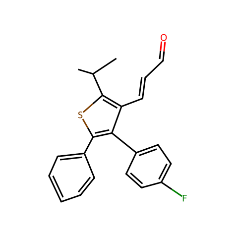 CC(C)c1sc(-c2ccccc2)c(-c2ccc(F)cc2)c1/C=C/C=O